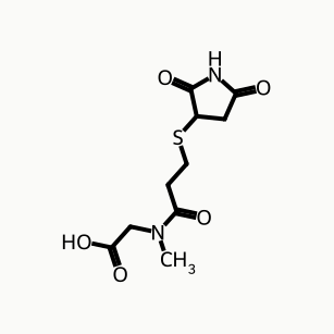 CN(CC(=O)O)C(=O)CCSC1CC(=O)NC1=O